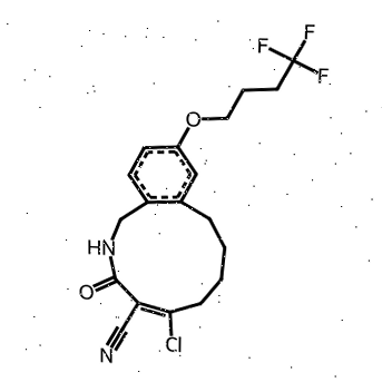 N#C/C1=C(\Cl)CCCCc2cc(OCCCC(F)(F)F)ccc2CNC1=O